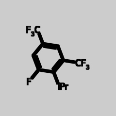 CC(C)c1c(F)cc(C(F)(F)F)cc1C(F)(F)F